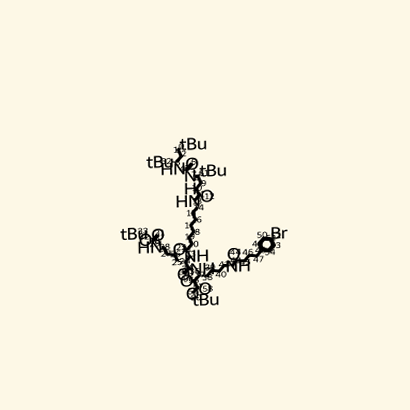 CC(C)(C)CC[C@H](NC(=O)N[C@@H](CCC(=O)NCCCCCCCC(=O)N[C@@H](CCCCNC(=O)OC(C)(C)C)C(=O)N[C@@H](CCCCNC(=O)CCCc1ccc(Br)cc1)C(=O)C(=O)OC(C)(C)C)C(C)(C)C)C(C)(C)C